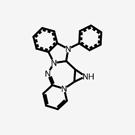 C1=CC2=NN3c4ccccc4N(c4ccccc4)C3C3NC3N2C=C1